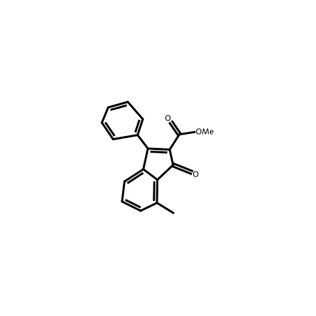 COC(=O)C1=C(c2ccccc2)c2cccc(C)c2C1=O